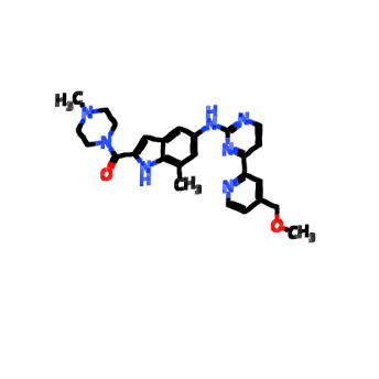 COCc1ccnc(-c2ccnc(Nc3cc(C)c4[nH]c(C(=O)N5CCN(C)CC5)cc4c3)n2)c1